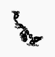 CC1(C)CCC(CN2CCN(c3ccc(C(=O)NS(=O)(=O)c4ccc(NCCN5CCC6C(=O)NCC6C5)c([N+](=O)[O-])c4)c(N4CCCOc5nc6[nH]ccc6cc54)c3)CC2)=C(c2ccc(Cl)cc2)C1